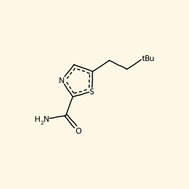 CC(C)(C)CCc1cnc(C(N)=O)s1